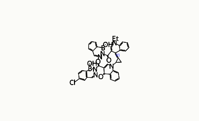 CCN1C=C(C(=O)N2N=Cc3ccccc3B2O)/C(=C2/CC2n2cc(C(=O)N3N=Cc4cc(Cl)ccc4B3O)c(=O)c3ccccc32)c2ccccc21